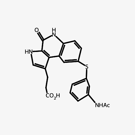 CC(=O)Nc1cccc(Sc2ccc3[nH]c(=O)c4[nH]cc(CCC(=O)O)c4c3c2)c1